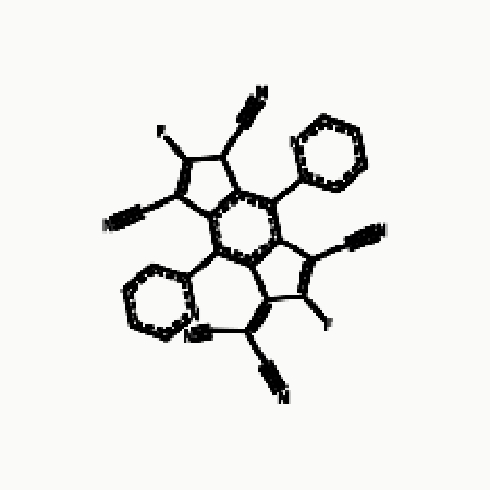 N#CC(C#N)=C1C(F)=C(C#N)c2c1c(-c1ccccn1)c1c(c2-c2ccccn2)C(C#N)C(F)=C1C#N